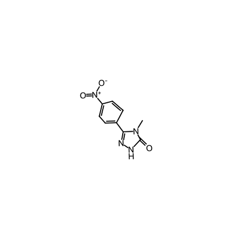 Cn1c(-c2ccc([N+](=O)[O-])cc2)n[nH]c1=O